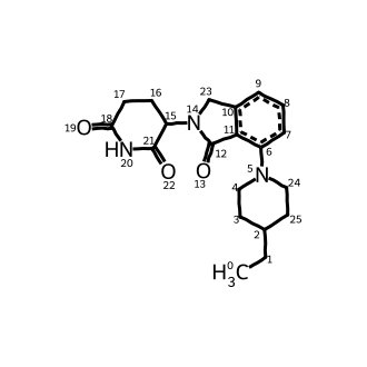 CCC1CCN(c2cccc3c2C(=O)N(C2CCC(=O)NC2=O)C3)CC1